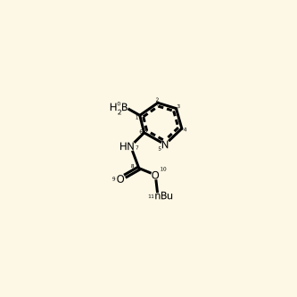 Bc1cccnc1NC(=O)OCCCC